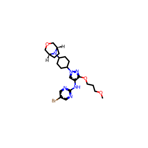 COCCCOc1nn(C2CCC(N3[C@@H]4CC[C@H]3COC4)CC2)cc1Nc1ncc(Br)cn1